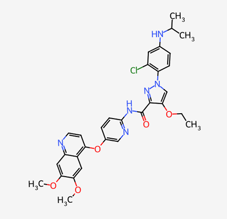 CCOc1cn(-c2ccc(NC(C)C)cc2Cl)nc1C(=O)Nc1ccc(Oc2ccnc3cc(OC)c(OC)cc23)cn1